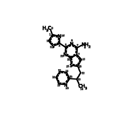 Cc1csc(-c2nc(N)c3cc(CC(C)c4ccccn4)sc3n2)n1